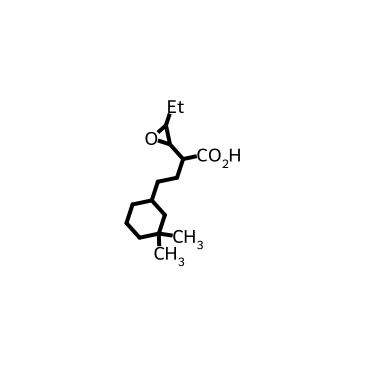 CCC1OC1C(CCC1CCCC(C)(C)C1)C(=O)O